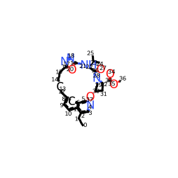 CCc1cnc2c3cc(ccc13)CCCCc1nnc(o1)N[C@@H](C(C)C)C(=O)N1CC(C[C@H]1C(=O)OC)O2